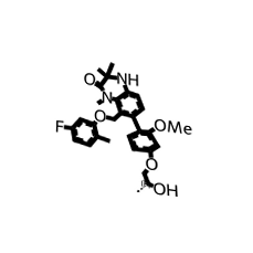 COc1cc(OC[C@@H](C)O)ccc1-c1ccc2c(c1COc1cc(F)ccc1C)N(C)C(=O)C(C)(C)N2